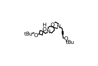 CC(C)(C)COC1CC(O)(CN2CCC3(CC2)CN(CC#CCOC(C)(C)C)CCO3)C1